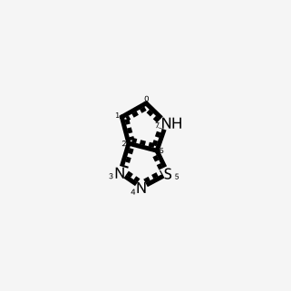 c1cc2nnsc2[nH]1